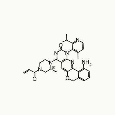 C=CC(=O)N1CCN(c2nc(=O)n(-c3c(C)ccnc3C(C)C)c3nc4c(cc23)OCc2cccc(N)c2-4)[C@@H](C)C1